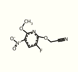 COc1nc(OCC#N)c(F)cc1[N+](=O)[O-]